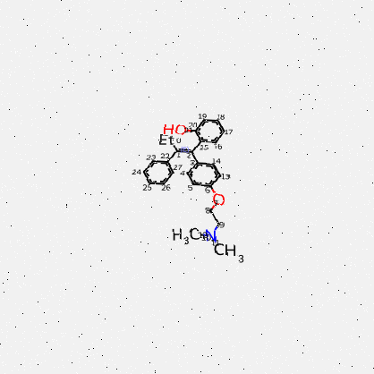 CC/C(=C(/c1ccc(OCCN(C)C)cc1)c1ccccc1O)c1ccccc1